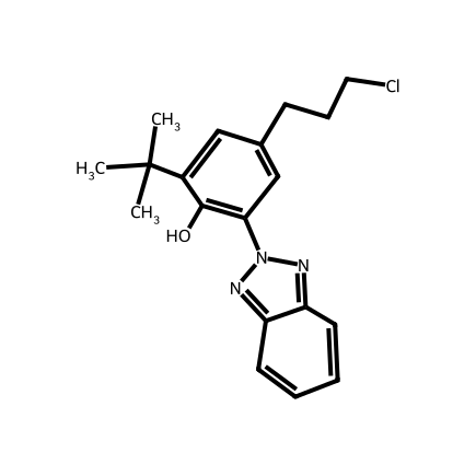 CC(C)(C)c1cc(CCCCl)cc(-n2nc3ccccc3n2)c1O